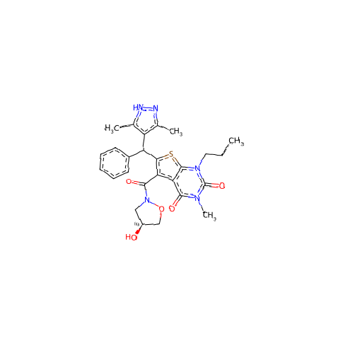 CCCn1c(=O)n(C)c(=O)c2c(C(=O)N3C[C@H](O)CO3)c(C(c3ccccc3)c3c(C)n[nH]c3C)sc21